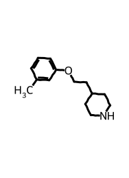 Cc1cccc(OCCC2CCNCC2)c1